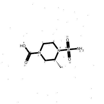 C[C@@H]1CN(C(=O)O)CCN1S(N)(=O)=O